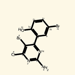 Nc1nc(Cl)c(Br)c(-c2cc(Br)ccc2O)n1